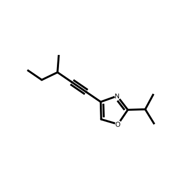 CCC(C)C#Cc1coc(C(C)C)n1